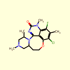 Cc1c(Cl)c2c3c(nc(=O)n(C)c3c1F)N1C(C)CN(C)CC1CCO2